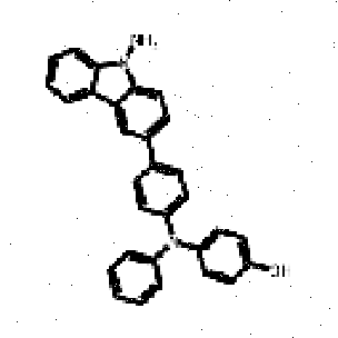 Nn1c2ccccc2c2cc(-c3ccc(N(c4ccccc4)c4ccc(O)cc4)cc3)ccc21